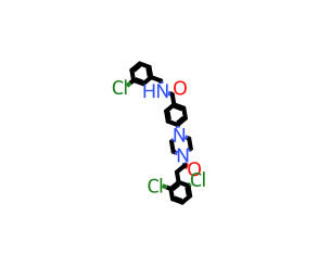 O=C(NCc1cccc(Cl)c1)c1ccc(N2CCN(C(=O)Cc3c(Cl)cccc3Cl)CC2)cc1